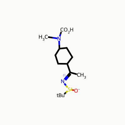 C/C(=N\[S+]([O-])C(C)(C)C)C1CCC(N(C)C(=O)O)CC1